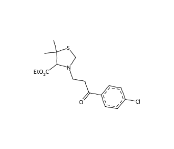 CCOC(=O)C1N(CCC(=O)c2ccc(Cl)cc2)CSC1(C)C